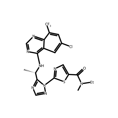 CCN(C)C(=O)c1cnc(-n2ncnc2[C@H](C)Nc2ncnc3c(C(F)(F)F)cc(Cl)cc23)s1